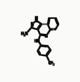 Nc1n[nH]c2c1c(Nc1ccc(C(F)(F)F)cc1)nc1ccccc12